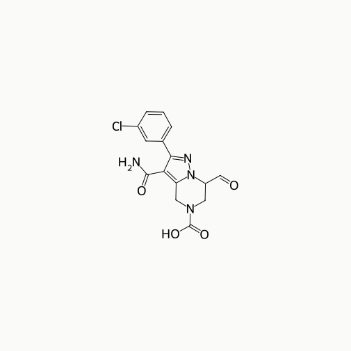 NC(=O)c1c(-c2cccc(Cl)c2)nn2c1CN(C(=O)O)CC2C=O